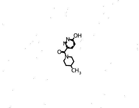 CC1CCN(C(=O)c2ccc(O)nn2)CC1